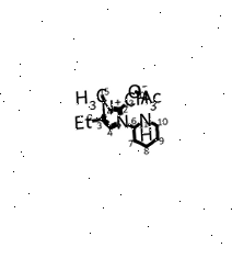 CC(=O)[O-].CCc1cn(C2CCCCN2)c(C)[n+]1C